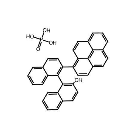 O=P(O)(O)O.Oc1ccc2ccccc2c1-c1c(-c2ccc3ccc4cccc5ccc2c3c45)ccc2ccccc12